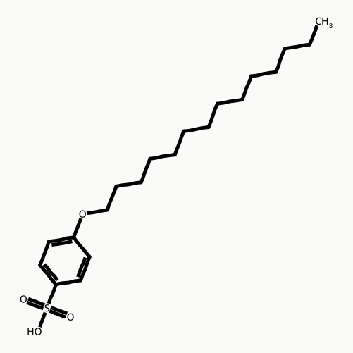 CCCCCCCCCCCCCCOc1ccc(S(=O)(=O)O)cc1